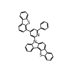 c1ccc(-c2cc(-c3cccc4c3sc3ccccc34)cc(-n3c4ccccc4c4c5sc6ccccc6c5ccc43)n2)cc1